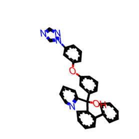 OC(c1cccc(Oc2cccc(-n3cncn3)c2)c1)(c1ccccn1)c1ccccc1-c1ccccc1